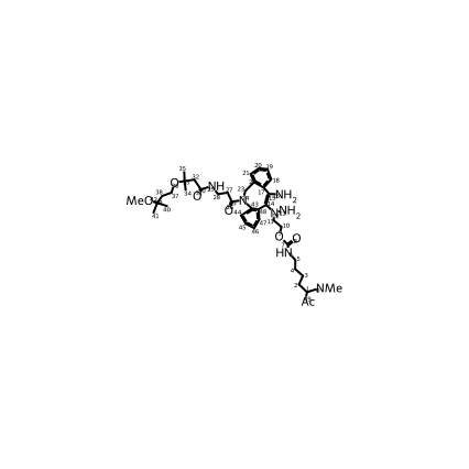 CNC(CCCCNC(=O)OCCN(N)/C1=C(\N)c2ccccc2CN(C(=O)CCNC(=O)CC(C)(C)OCCC(C)(C)OC)c2ccccc21)C(C)=O